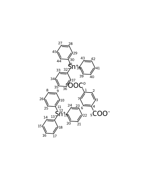 O=C([O-])c1ccc(C(=O)[O-])cc1.c1cc[c]([Sn+]([c]2ccccc2)[c]2ccccc2)cc1.c1cc[c]([Sn+]([c]2ccccc2)[c]2ccccc2)cc1